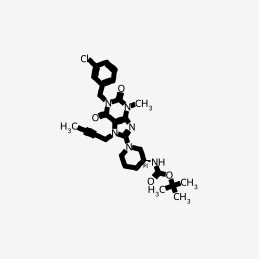 CC#CCn1c(N2CCC[C@@H](NC(=O)OC(C)(C)C)C2)nc2c1c(=O)n(Cc1cccc(Cl)c1)c(=O)n2C